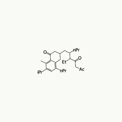 CCCc1cc(C(C)C)c(C)c2c1CC(CC(CCC)C(CC)C(=O)CC(C)=O)CC2=O